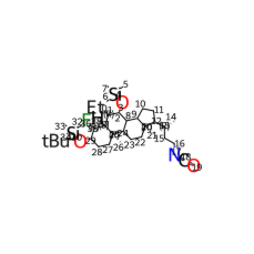 CC[C@H]1C(O[Si](C)(C)C)C2C3CCC([C@H](C)CCN=C=O)[C@@]3(C)CCC2[C@@]2(C)CCC(O[Si](C)(C)C(C)(C)C)[C@H](F)[C@@H]12